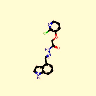 O=C(COc1cccnc1Cl)N/N=C/c1cccc2[nH]ccc12